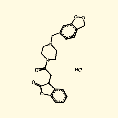 Cl.O=C1Oc2ccccc2C1CC(=O)N1CCN(Cc2ccc3c(c2)OOC3)CC1